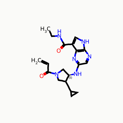 C=CC(=O)N1CC(C2CC2)[C@H](Nc2cnc3[nH]cc(C(=O)NCC)c3n2)C1